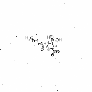 COCCNC(=O)c1cc(C(O)O)cc([N+](=O)[O-])c1